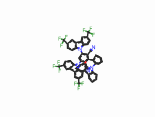 N#Cc1c(-n2c3ccc(C(F)(F)F)cc3c3cc(C(F)(F)F)ccc32)cc(-n2c3ccc(C(F)(F)F)cc3c3cc(C(F)(F)F)ccc32)c(C#N)c1-c1ccccc1-n1c2ccccc2c2ccccc21